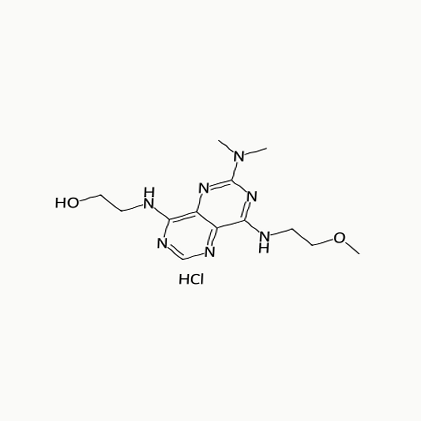 COCCNc1nc(N(C)C)nc2c(NCCO)ncnc12.Cl